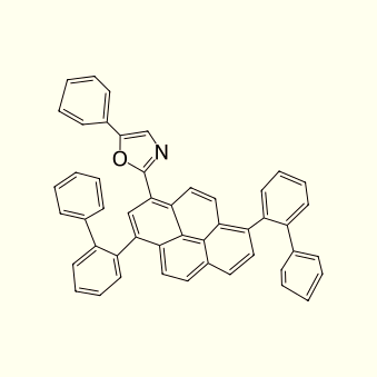 c1ccc(-c2cnc(-c3cc(-c4ccccc4-c4ccccc4)c4ccc5ccc(-c6ccccc6-c6ccccc6)c6ccc3c4c56)o2)cc1